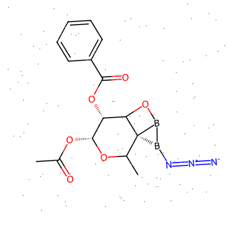 CC(=O)O[C@H]1OC(C)[C@]23B(N=[N+]=[N-])B2OC3[C@H]1OC(=O)c1ccccc1